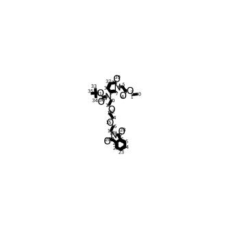 CCOC(=O)Cn1cc(N(CCOCCOCCN2C(=O)c3ccccc3C2=O)C(=O)OC(C)(C)C)ccc1=O